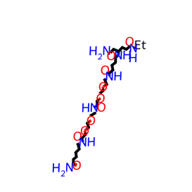 CCNC(=O)CCC(CCN)NC(=O)CCCC(=O)NCCOCCOCC(=O)NCCOCCOCC(=O)NCCCCCC(N)=O